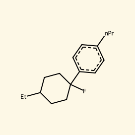 CCCc1ccc(C2(F)CCC(CC)CC2)cc1